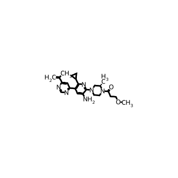 C=C(C)c1cc(-c2cc(N)c(N3CCN(C(=O)CCOC)[C@H](C)C3)nc2C2CC2)ncn1